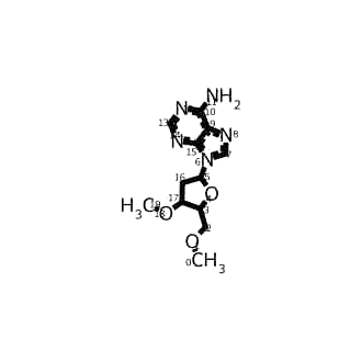 COCC1OC(n2cnc3c(N)ncnc32)CC1OC